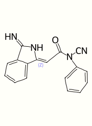 N#CN(C(=O)/C=C1\NC(=N)c2ccccc21)c1ccccc1